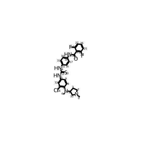 CN1CCC(N(C)c2ccc(NC(=S)Nc3ccc(NC(=O)c4c(F)cccc4F)cc3)cc2Cl)C1